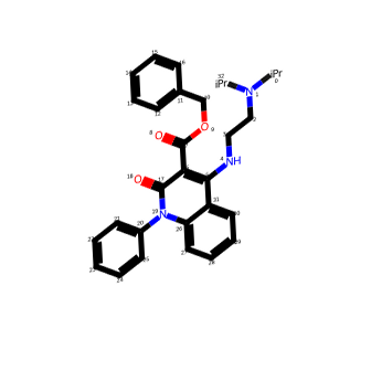 CC(C)N(CCNc1c(C(=O)OCc2ccccc2)c(=O)n(-c2ccccc2)c2ccccc12)C(C)C